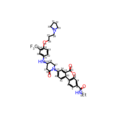 CCNC(=O)c1ccc2c(c1)oc(=O)c1cc(N3CCC(Nc4ccc(OCCCN5CCCC5)c(C(F)(F)F)c4)CC3=O)ccc12